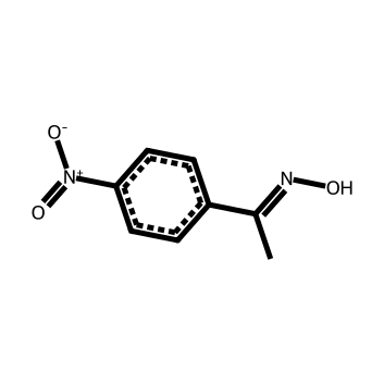 CC(=NO)c1ccc([N+](=O)[O-])cc1